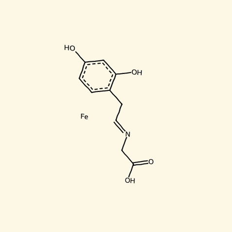 O=C(O)CN=CCc1ccc(O)cc1O.[Fe]